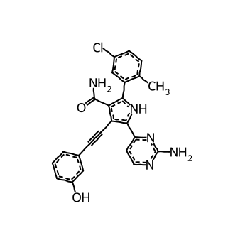 Cc1ccc(Cl)cc1-c1[nH]c(-c2ccnc(N)n2)c(C#Cc2cccc(O)c2)c1C(N)=O